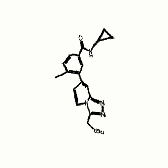 Cc1ccc(C(=O)NC2CC2)cc1-c1ccn2c(CC(C)(C)C)nnc2c1